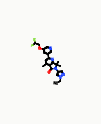 Cc1cc(-c2cncc(OCC(F)F)c2)nc2c1C(=O)N(c1cnn(CC#N)c1)C2(C)C